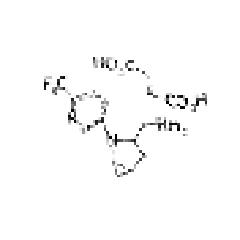 NCC1CC2CC2N1c1ccc(C(F)(F)F)nc1.O=C(O)/C=C/C(=O)O